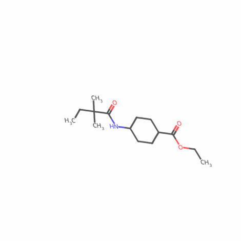 CCOC(=O)C1CCC(NC(=O)C(C)(C)CC)CC1